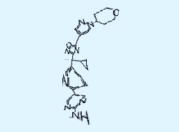 CNc1ncc(-c2ccc([C@@](C)(c3noc(-c4cnn(C5CCOCC5)c4)n3)C3CC3)cn2)cn1